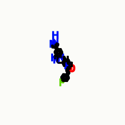 C/N=C\c1cc(-c2cn[nH]c2)ccc1NCC1CCN(C(=O)CCc2ccc(F)cc2)CC1